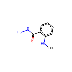 NNC(=O)c1ccccc1NC=O